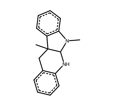 CN1c2ccccc2C2(C)Cc3ccccc3NC12